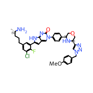 COc1ccc(Cn2cc([C@@H]3COC[C@H](c4ccc(-n5cc6cc(-c7cc(CCC[C@H](C)N)cc(Cl)c7F)[nH]c6nc5=O)cc4)N3)nn2)cc1